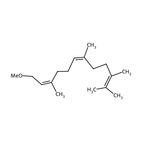 COCC=C(C)CCC=C(C)CCC(C)=C(C)C